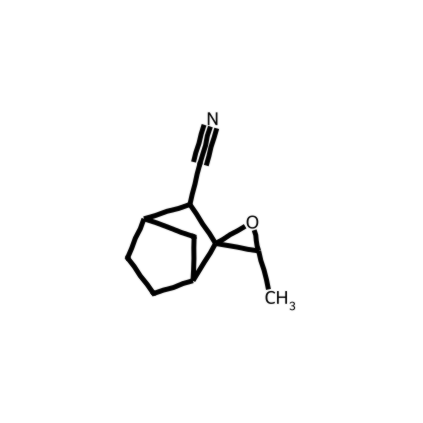 CC1OC12C1CCC(C1)C2C#N